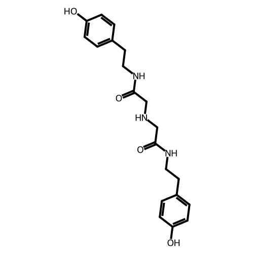 O=C(CNCC(=O)NCCc1ccc(O)cc1)NCCc1ccc(O)cc1